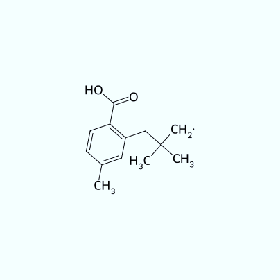 [CH2]C(C)(C)Cc1cc(C)ccc1C(=O)O